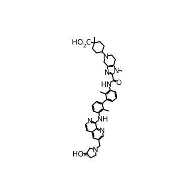 Cc1c(NC(=O)c2nc3c(n2C)CCN(C2CCC(C)(C(=O)O)CC2)C3)cccc1-c1cccc(Nc2nccc3cc(CN4CC[C@@H](O)C4)cnc23)c1C